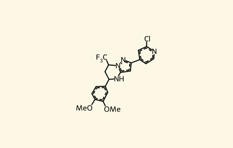 COc1ccc(C2CC(C(F)(F)F)n3nc(-c4ccnc(Cl)c4)cc3N2)cc1OC